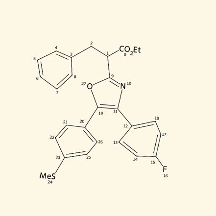 CCOC(=O)C(Cc1ccccc1)c1nc(-c2ccc(F)cc2)c(-c2ccc(SC)cc2)o1